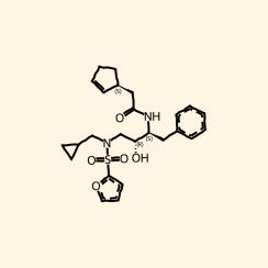 O=C(C[C@H]1C=CCC1)N[C@@H](Cc1ccccc1)[C@H](O)CN(CC1CC1)S(=O)(=O)c1ccco1